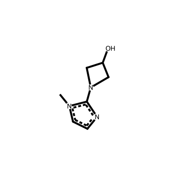 Cn1ccnc1N1CC(O)C1